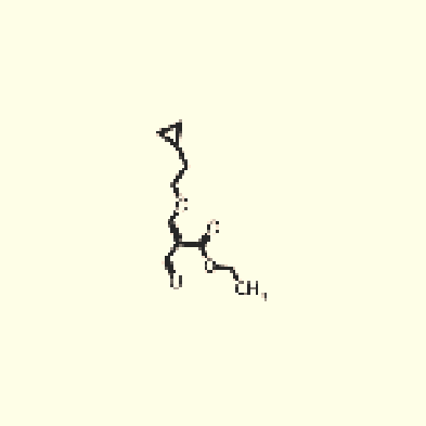 CCOC(=O)C(C=O)=COCCC1CC1